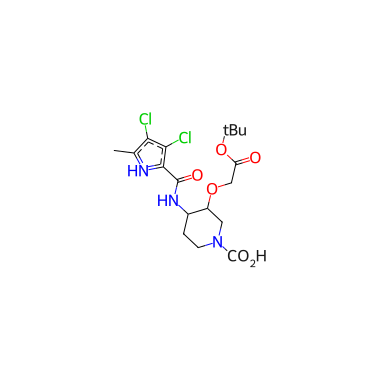 Cc1[nH]c(C(=O)NC2CCN(C(=O)O)CC2OCC(=O)OC(C)(C)C)c(Cl)c1Cl